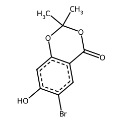 CC1(C)OC(=O)c2cc(Br)c(O)cc2O1